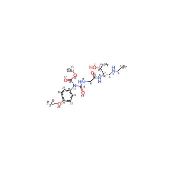 CCC[C@H](O)[C@H](CNCC(C)C)NC(=O)CNC(=O)N(C(=O)OC(C)(C)C)c1ccc(OC(F)(F)F)cc1